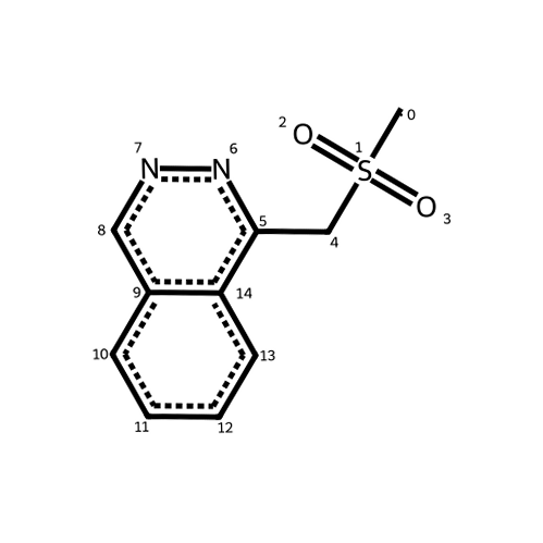 [CH2]S(=O)(=O)Cc1nncc2ccccc12